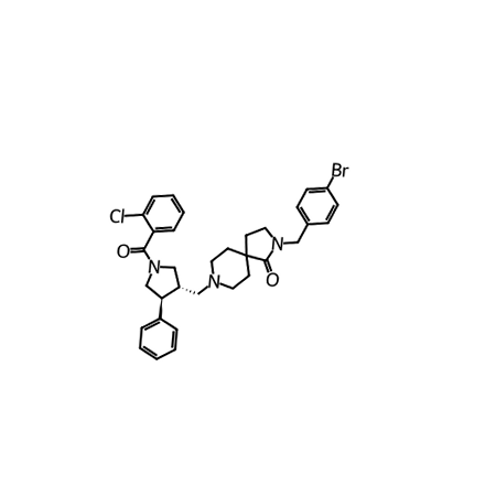 O=C(c1ccccc1Cl)N1C[C@H](CN2CCC3(CC2)CCN(Cc2ccc(Br)cc2)C3=O)[C@@H](c2ccccc2)C1